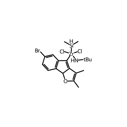 CC1=C(C)C2=[C]([Zr]([Cl])([Cl])([NH]C(C)(C)C)[SiH](C)C)c3cc(Br)ccc3C2O1